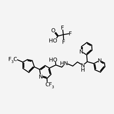 O=C(O)C(F)(F)F.OC(CNCCNC(c1ccccn1)c1ccccn1)c1cc(-c2ccc(C(F)(F)F)cc2)nc(C(F)(F)F)c1